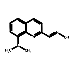 CN(C)c1cccc2ccc(/C=N/O)nc12